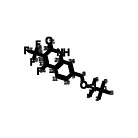 CC(C)(C)[Si](C)(C)OCc1ccc2c(F)c(C(F)(F)F)c(=O)[nH]c2c1